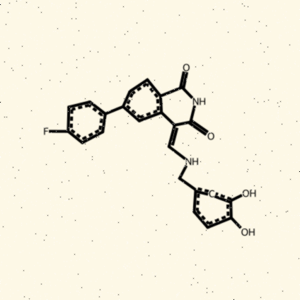 O=C1NC(=O)c2ccc(-c3ccc(F)cc3)cc2C1=CNCc1ccc(O)c(O)c1